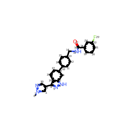 Cn1cc(-c2n[nH]c3cc(-c4ccc(CNC(=O)c5cccc(F)c5)cc4)ccc23)cn1